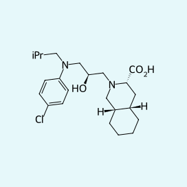 CC(C)CN(C[C@H](O)CN1C[C@H]2CCCC[C@H]2C[C@H]1C(=O)O)c1ccc(Cl)cc1